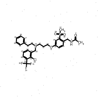 CC(=O)NCc1ccc(OCCCN(CCc2ccccc2)Cc2cccc(C(F)(F)F)c2Cl)cc1S(C)(=O)=O